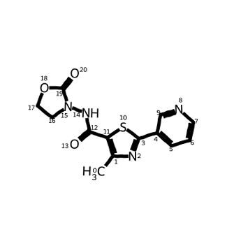 Cc1nc(-c2cccnc2)sc1C(=O)NN1CCOC1=O